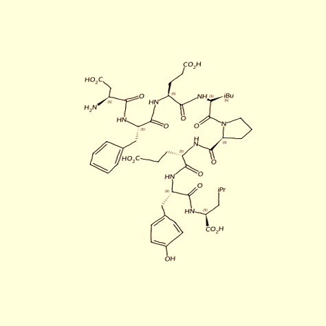 CC[C@H](C)[C@H](NC(=O)[C@H](CCC(=O)O)NC(=O)[C@H](Cc1ccccc1)NC(=O)[C@@H](N)CC(=O)O)C(=O)N1CCC[C@H]1C(=O)N[C@@H](CCC(=O)O)C(=O)N[C@@H](Cc1ccc(O)cc1)C(=O)N[C@@H](CC(C)C)C(=O)O